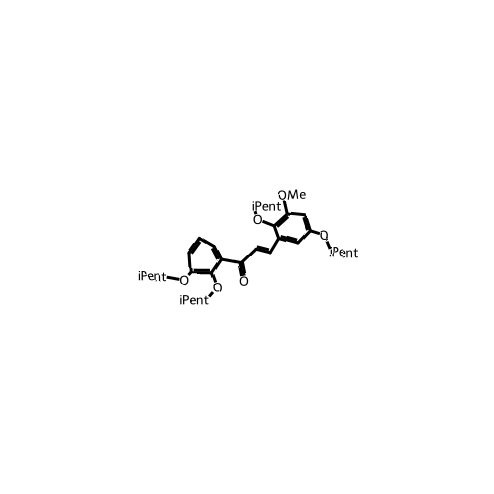 CCCC(C)Oc1cc(C=CC(=O)c2cccc(OC(C)CCC)c2OC(C)CCC)c(OC(C)CCC)c(OC)c1